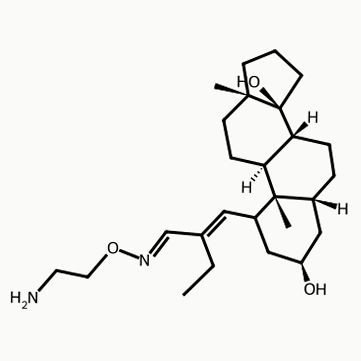 CCC(/C=N/OCCN)=C\C1C[C@H](O)C[C@H]2CC[C@@H]3[C@H](CC[C@]4(C)CCC[C@]34O)[C@@]12C